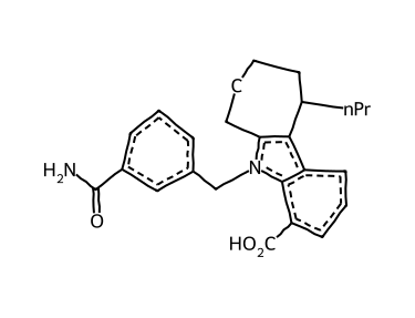 CCCC1CCCCc2c1c1cccc(C(=O)O)c1n2Cc1cccc(C(N)=O)c1